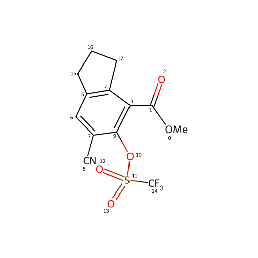 COC(=O)c1c2c(cc(C#N)c1OS(=O)(=O)C(F)(F)F)CCC2